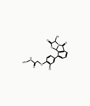 CCCNC(=O)COc1ccc(-c2cccc3c2C2OC(=O)C(C(C)C)N2C3=O)cc1Cl